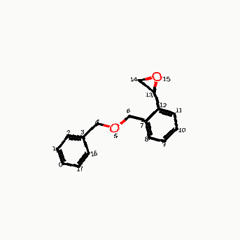 c1ccc(COCc2ccccc2C2CO2)cc1